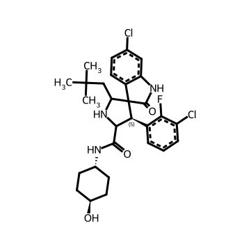 CC(C)(C)CC1NC(C(=O)N[C@H]2CC[C@H](O)CC2)[C@H](c2cccc(Cl)c2F)C12C(=O)Nc1cc(Cl)ccc12